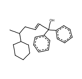 CC(CC=CC(O)(c1ccccc1)c1ccccc1)C1CCCCC1